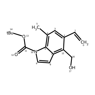 C=Cc1cc(C)c2c(ccn2C(=O)OC(C)(C)C)c1CO